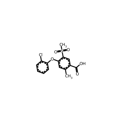 Cc1cc(Oc2ccccc2Cl)c(S(C)(=O)=O)cc1C(=O)O